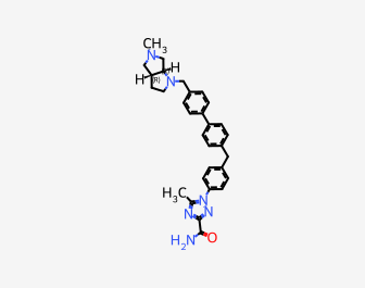 Cc1nc(C(N)=O)nn1-c1ccc(Cc2ccc(-c3ccc(CN4CC[C@@H]5CN(C)C[C@@H]54)cc3)cc2)cc1